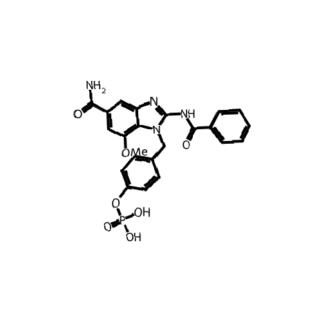 COc1cc(C(N)=O)cc2nc(NC(=O)c3ccccc3)n(Cc3ccc(OP(=O)(O)O)cc3)c12